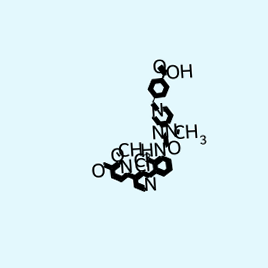 COc1nc(-c2ccnc(-c3cccc(NC(=O)c4nc5c(n4C)CCN(C[C@H]4CC[C@H](C(=O)O)CC4)C5)c3Cl)c2Cl)ccc1C=O